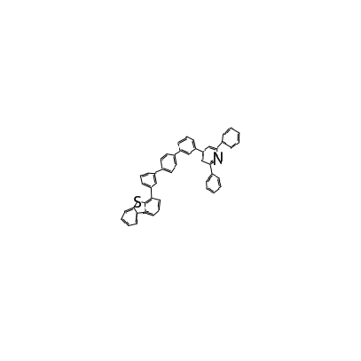 C1=CCC(c2cc(-c3cccc(-c4ccc(-c5cccc(-c6cccc7c6sc6ccccc67)c5)cc4)c3)cc(-c3ccccc3)n2)C=C1